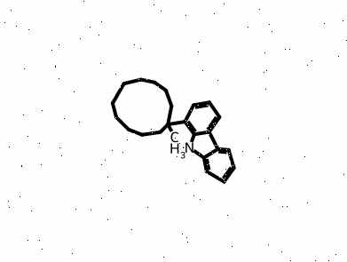 CC1(c2cccc3c2[N]c2ccccc2-3)CCCCCCCCCC1